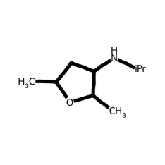 CC(C)NC1CC(C)OC1C